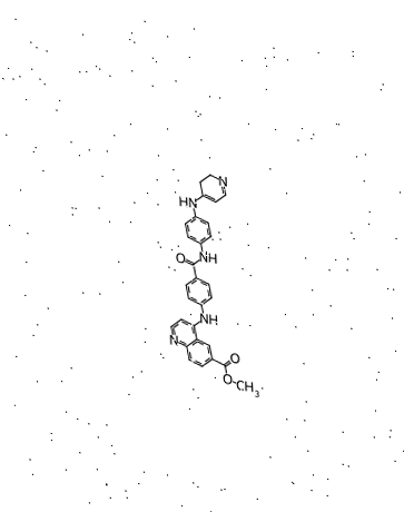 COC(=O)c1ccc2nccc(Nc3ccc(C(=O)Nc4ccc(NC5=CC=NCC5)cc4)cc3)c2c1